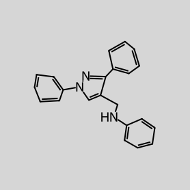 c1ccc(NCc2cn(-c3ccccc3)nc2-c2ccccc2)cc1